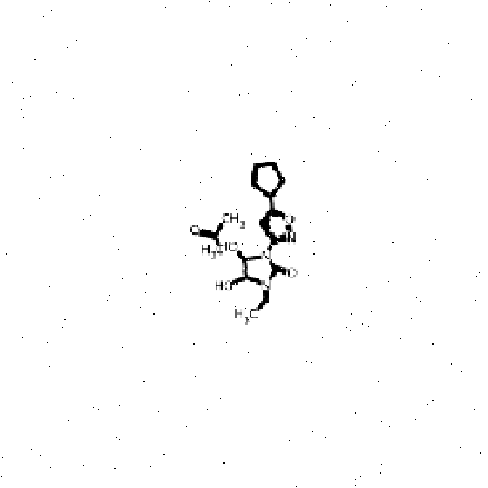 CC(C)=O.CCN1C(=O)N(c2cc(C3CCCC3)on2)C(O)C1O